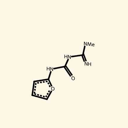 CNC(=N)NC(=O)Nc1ccco1